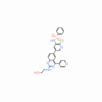 O=S(=O)(Nc1cc(-c2ccc3nc(NCCO)nc(-c4ccncc4)c3c2)cnc1Cl)c1ccccc1